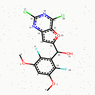 COc1cc(OC)c(F)c(C(O)c2cc3nc(Cl)nc(Cl)c3o2)c1F